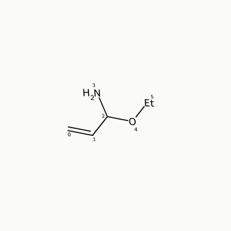 C=CC(N)OCC